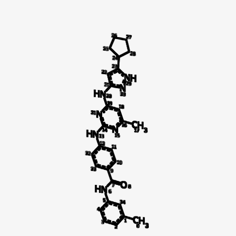 Cc1cccc(NC(=O)c2ccc(Nc3nc(C)cc(Nc4cc(C5CCCC5)[nH]n4)n3)cc2)c1